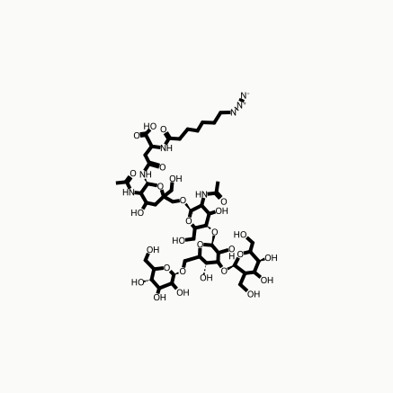 CC(=O)NC1C(O)[C@H](O[C@@H]2OC(CO[C@H]3OC(CO)[C@@H](O)C(O)C3O)[C@@H](O)C(O[C@H]3OC(CO)[C@@H](O)C(O)C3CO)C2O)C(CO)O[C@H]1OCC1(CO)CC(O)C(NC(C)=O)[C@H](NC(=O)CC(NC(=O)CCCCCCN=[N+]=[N-])C(=O)O)O1